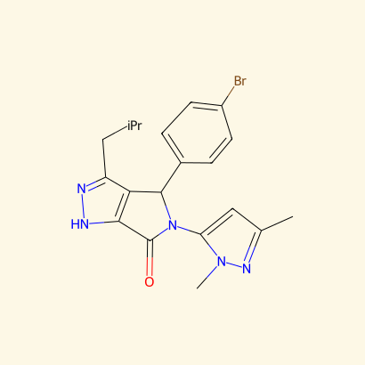 Cc1cc(N2C(=O)c3[nH]nc(CC(C)C)c3C2c2ccc(Br)cc2)n(C)n1